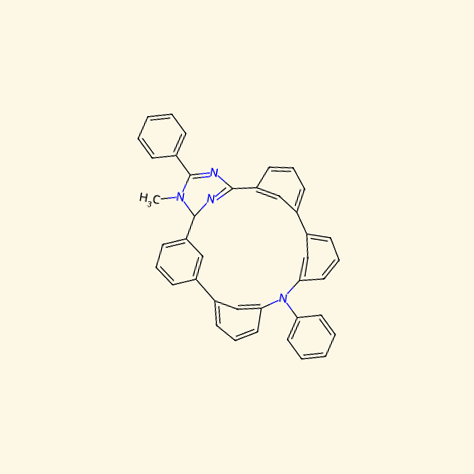 CN1C(c2ccccc2)=NC2=NC1c1cccc(c1)-c1cccc(c1)N(c1ccccc1)c1cccc(c1)-c1cccc2c1